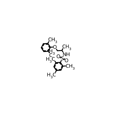 Cc1cc(C)c(S(=O)(=O)NC(C)COc2c(C)cccc2C)c(C)c1